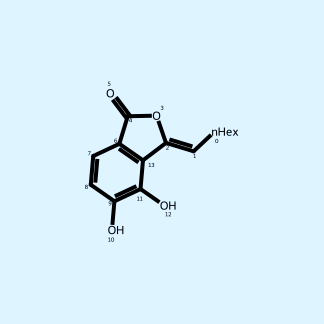 CCCCCC/C=C1\OC(=O)c2ccc(O)c(O)c21